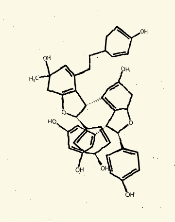 CC1(O)C=C(CCC2C=CC(O)=CC2)C2=C(C1)O[C@H](C1=CC[C@H](O)C=C1)[C@H]2C1=C2C(CC(O)=C1)O[C@@H](c1ccc(O)cc1)[C@@H]2c1cc(O)cc(O)c1